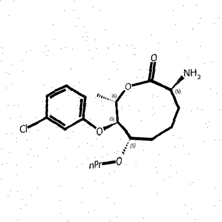 CCCO[C@H]1CCC[C@H](N)C(=O)O[C@@H](C)[C@@H]1Oc1cccc(Cl)c1